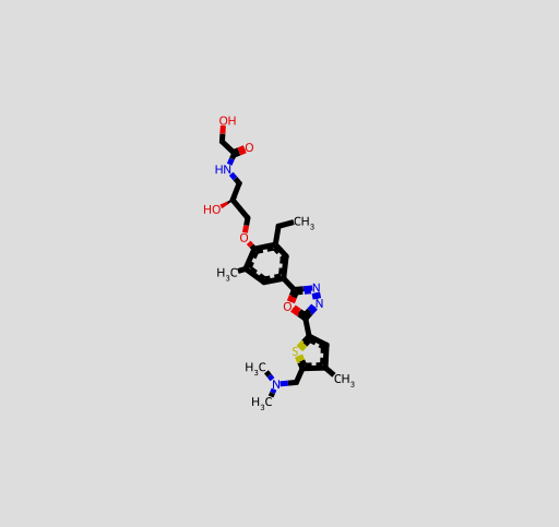 CCc1cc(-c2nnc(-c3cc(C)c(CN(C)C)s3)o2)cc(C)c1OC[C@@H](O)CNC(=O)CO